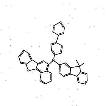 CC1(C)c2ccccc2-c2ccc(N(c3ccc(-c4ccccc4)cc3)c3cc4c5ccccc5sc4c4ccccc34)cc21